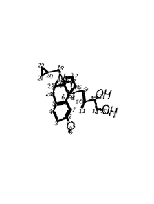 COc1ccc2c(c1)[C@@]1(CC(C)[C@H](O)CO)CCN(CC3CC3)C(C2)[C@@H]1C